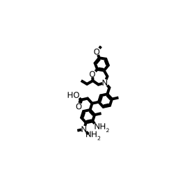 CCC1CN(Cc2cc(C(CC(=O)O)c3ccc(N(C)N)c(N)c3C)ccc2C)Cc2ccc(OC)cc2O1